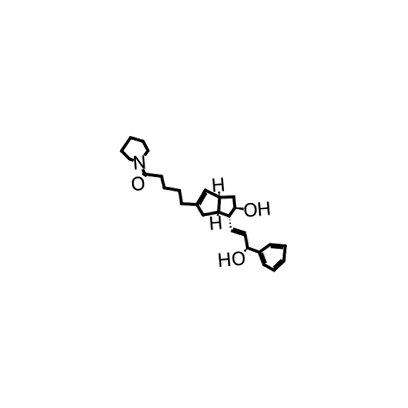 O=C(CCCCC1=C[C@H]2C[C@@H](O)[C@H](/C=C/[C@@H](O)c3ccccc3)[C@H]2C1)N1CCCCC1